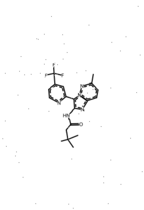 Cc1ccc2nc(NC(=O)CC(C)(C)C)c(-c3cc(C(F)(F)F)ccn3)n2n1